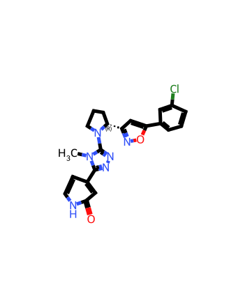 Cn1c(-c2cc[nH]c(=O)c2)nnc1N1CCC[C@@H]1c1cc(-c2cccc(Cl)c2)on1